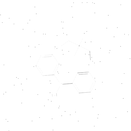 CCC(C)(CC#N)CC#N.[Pd][P](c1ccccc1)c1ccccc1